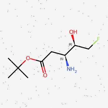 CC(C)(C)OC(=O)C[C@H](N)[C@@H](O)CF